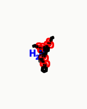 CCCOC(=O)Oc1ccc(C[C@H](N)C(=O)O[C@@H](C)COC(=O)C2CCCCC2)cc1OC(=O)OCCC